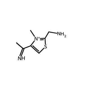 CC(=N)c1csc(CN)[n+]1C